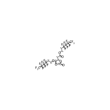 O=[SH]OC(CC(=O)OCCC(F)(F)C(F)(F)C(F)(F)C(F)(F)F)C(=O)OCCC(F)(F)C(F)(F)C(F)(F)C(F)(F)F